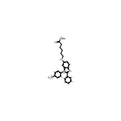 COC(=O)CCCCCOc1ccc2nc(-c3ccccc3)n(-c3ccc([N+](=O)[O-])cc3)c2c1